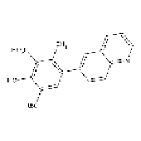 Cc1c(-c2ccc3ncccc3c2)cc(C(C)(C)C)c(O)c1C(=O)O